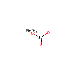 O=[Se]([O-])[O-].[PbH2+2]